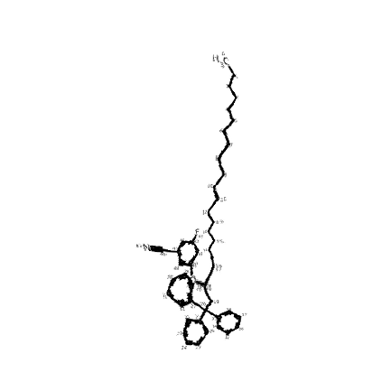 CCCCCCCCCCCCCCCCCCC(CC(c1ccccc1)(c1ccccc1)c1ccccc1)Oc1cc(F)cc(C#N)c1